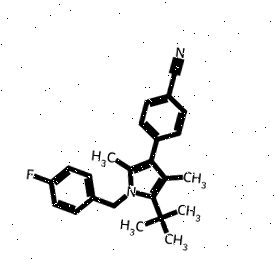 Cc1c(-c2ccc(C#N)cc2)c(C)n(Cc2ccc(F)cc2)c1C(C)(C)C